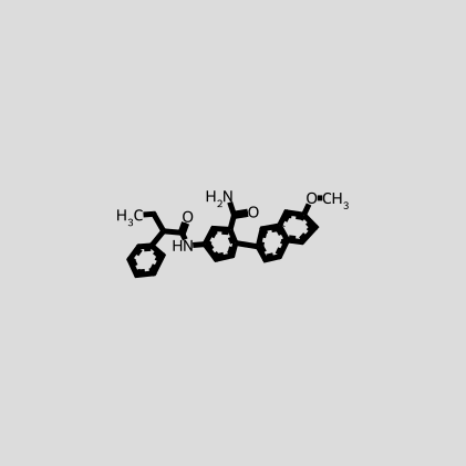 CCC(C(=O)Nc1ccc(-c2ccc3ccc(OC)cc3c2)c(C(N)=O)c1)c1ccccc1